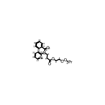 CC(C)OOCCOC(=O)CCN(C(=O)C1=CC=C=C=C1)c1ccccn1